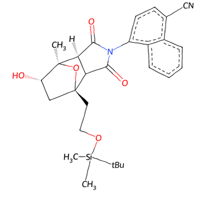 CC(C)(C)[Si](C)(C)OCC[C@@]12C[C@H](O)[C@](C)(O1)[C@H]1C(=O)N(c3ccc(C#N)c4ccccc34)C(=O)C12